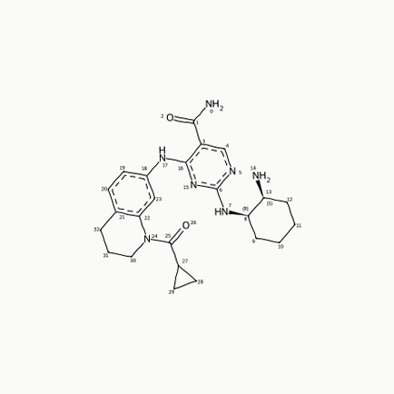 NC(=O)c1cnc(N[C@@H]2CCCC[C@@H]2N)nc1Nc1ccc2c(c1)N(C(=O)C1CC1)CCC2